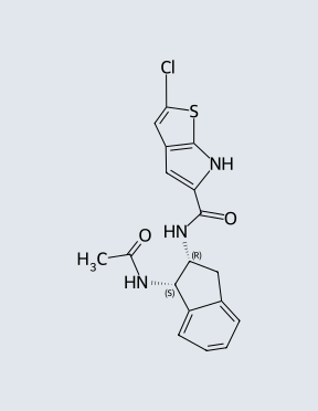 CC(=O)N[C@H]1c2ccccc2C[C@H]1NC(=O)c1cc2cc(Cl)sc2[nH]1